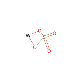 O=S1(=O)[O][W][O]1